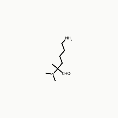 CN(C)C(C)([C]=O)CCCCN